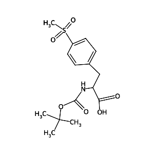 CC(C)(C)OC(=O)NC(Cc1ccc(S(C)(=O)=O)cc1)C(=O)O